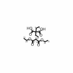 CCC(CC)(C(=O)O)C(=O)O.CCOC(=O)CC(=O)OCC